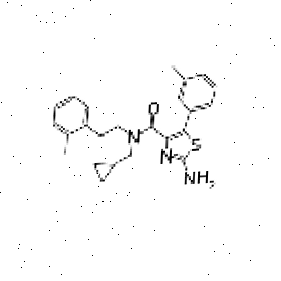 Cc1cccc(-c2sc(N)nc2C(=O)N(CCc2ccccc2C)CC2CC2)c1